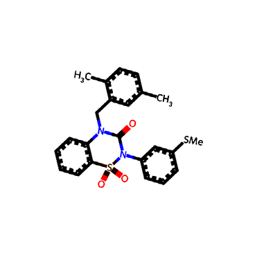 CSc1cccc(N2C(=O)N(Cc3cc(C)ccc3C)c3ccccc3S2(=O)=O)c1